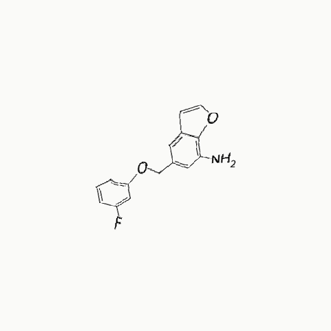 Nc1cc(COc2cccc(F)c2)cc2ccoc12